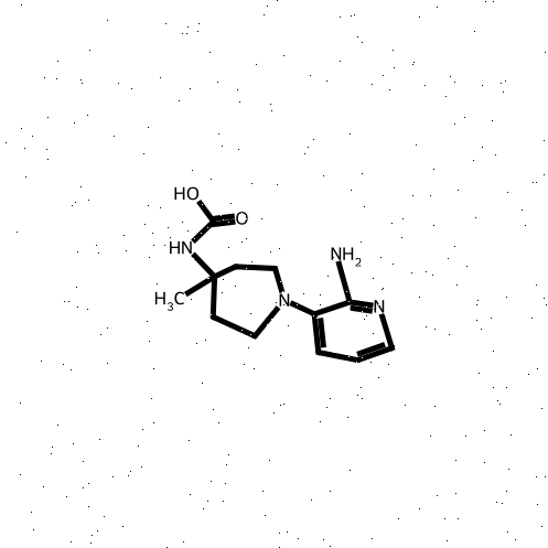 CC1(NC(=O)O)CCN(c2cccnc2N)CC1